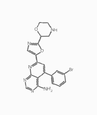 Nc1ncnc2nc(-c3cnc(C4CNCCO4)o3)cc(-c3cccc(Br)c3)c12